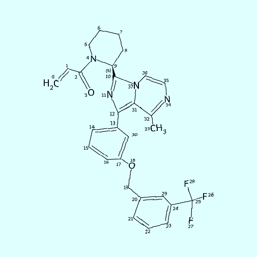 C=CC(=O)N1CCCC[C@H]1c1nc(-c2cccc(OCc3cccc(C(F)(F)F)c3)c2)c2c(C)nccn12